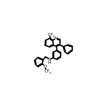 FC(F)(F)Oc1ccccc1CNc1cccc(-c2c(-c3ccccc3)cnc3c(C(F)(F)F)cccc23)c1